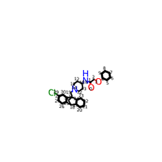 O=C(COc1ccccc1)NC1CCN(CC23CC(c4ccccc42)c2ccc(Cl)cc23)CC1